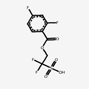 O=C(OCC(F)(F)S(=O)(=O)O)c1ccc(F)cc1F